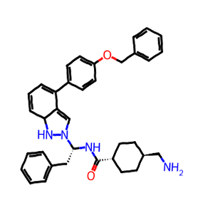 NC[C@H]1CC[C@H](C(=O)N[C@H](Cc2ccccc2)N2C=C3C(c4ccc(OCc5ccccc5)cc4)=CC=CC3N2)CC1